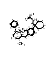 C[C@@H]1NC[C@@H](c2ccccc2)S(=O)(=O)C1Cc1ccc(C2(CNC(=O)O)CCOCC2)cc1F